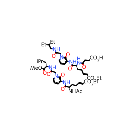 CCOC(=O)/C=C/CC[C@H](NC(=O)CCC(=O)O)C(=O)Nc1cccn(CC(=O)NCC(CC)CC)c1=O.CCOC(=O)/C=C/CC[C@H](NC(C)=O)C(=O)Nc1cccn(CC(=O)N[C@@H](CC(C)C)C(=O)OC)c1=O